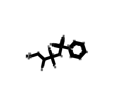 O=S(=O)(OC(F)(F)C(F)CC(F)(F)F)[n+]1ccccc1